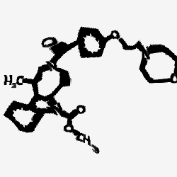 COC(=O)n1c2c(c3ccccc31)C(C)CN(C(=O)c1ccc(OCCN3CCOCC3)cc1)C=C2